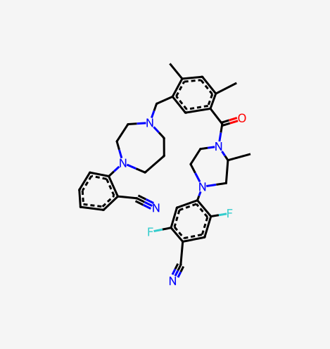 Cc1cc(C)c(C(=O)N2CCN(c3cc(F)c(C#N)cc3F)CC2C)cc1CN1CCCN(c2ccccc2C#N)CC1